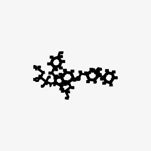 [3H]CC(=O)C(C)(C)Cc1c2c3c(c(OCc4ccc(-c5ccccc5)c(C)n4)ccc3n1Cc1ccc(C)cc1)CC(C)S2